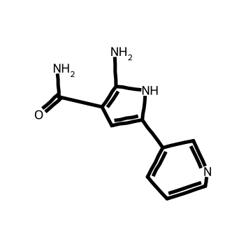 NC(=O)c1cc(-c2cccnc2)[nH]c1N